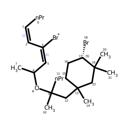 CCC/C=C\C(Br)=C/C(C)OC(C)(CCC)CC1(C)CC[C@H](Br)C(C)(C)C1